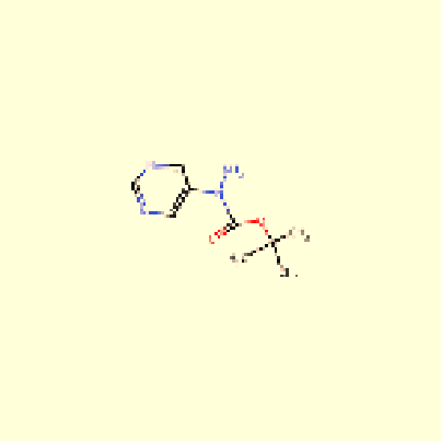 CC(C)(C)OC(=O)N(N)c1cncnc1